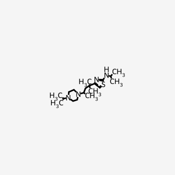 CC(C)Nc1nc(C(C)(C)CC(C)N2CCN(C(C)C)CC2)cs1